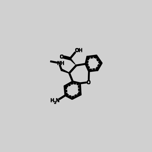 CNC[C@@H]1c2cc(N)ccc2Oc2ccccc2[C@H]1C(=O)O